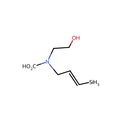 O=C(O)N(CC=C[SiH3])CCO